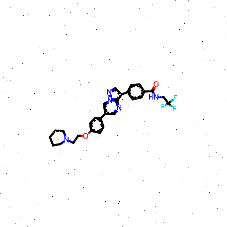 O=C(NCC(F)(F)F)c1ccc(-c2cnn3cc(-c4ccc(OCCN5CCCCC5)cc4)cnc23)cc1